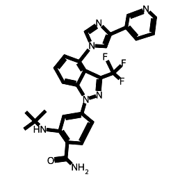 CC(C)(C)Nc1cc(-n2nc(C(F)(F)F)c3c(-n4cnc(-c5cccnc5)c4)cccc32)ccc1C(N)=O